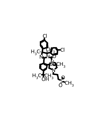 CCOc1cc(C(C)(C)O)ccc1C1=N[C@@](C)(c2ccc(Cl)cc2)[C@@](C)(c2ccc(Cl)cc2)N1C(=O)N1CCN(CCCS(C)(=O)=O)CC1